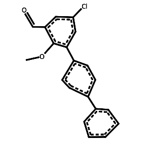 COc1c(C=O)cc(Cl)cc1-c1ccc(-c2ccccc2)cc1